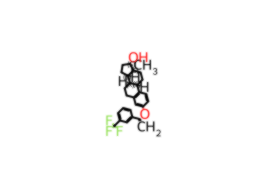 C=C(Oc1ccc2c(c1)CC[C@@H]1[C@@H]2CC[C@]2(C)[C@@H](O)CC[C@@H]12)c1cccc(C(F)(F)F)c1